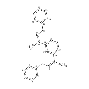 C/C(=N/Cc1ccccc1)c1cccc(/C(C)=N\Cc2ccccc2)n1